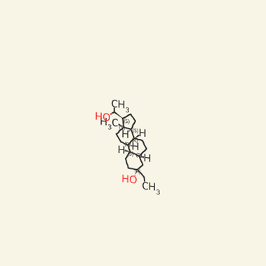 CC[C@@]1(O)CC[C@H]2[C@H](CC[C@@H]3[C@@H]2CC[C@]2(C)[C@@H](C(C)O)CC[C@@H]32)C1